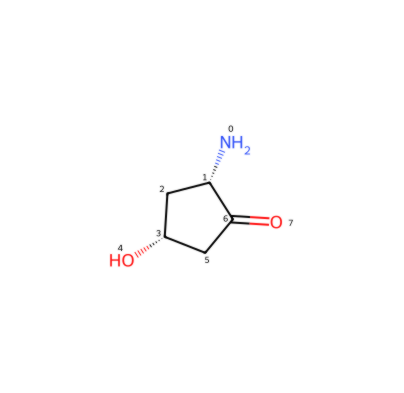 N[C@H]1C[C@@H](O)CC1=O